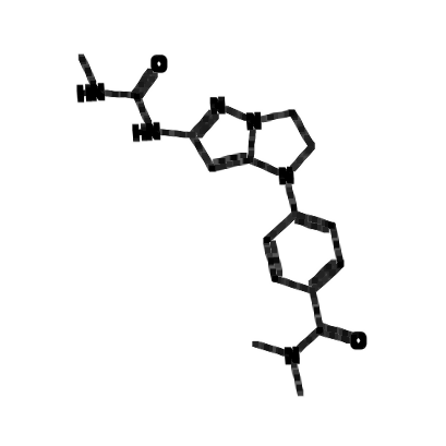 CNC(=O)Nc1cc2n(n1)CCN2c1ccc(C(=O)N(C)C)cc1